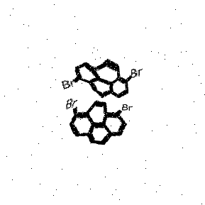 Brc1ccc2ccc3c(Br)ccc4ccc1c2c43.Brc1ccc2ccc3ccc(Br)c4ccc1c2c34